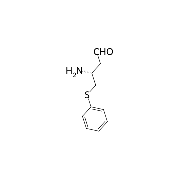 N[C@H](CC=O)CSc1ccccc1